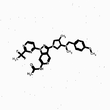 COc1ccc(CN(C)C2CN(c3nn(-c4ccnc(C(C)(F)F)n4)c4cc(NC(C)=O)ncc34)CC2C)cc1